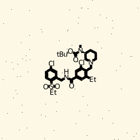 CCc1cc(C(=O)NCc2cc(Cl)ccc2S(=O)(=O)CC)cc(Cl)c1CN1CCC[C@H](N(C)C(=O)OC(C)(C)C)C1